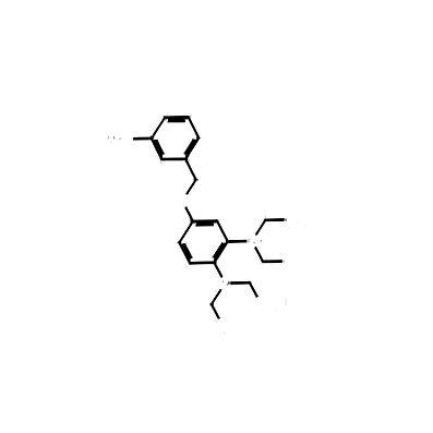 COc1cccc(COc2ccc(N(CC(=O)O)CC(=O)O)c(N(CC(=O)O)CC(=O)O)c2)c1